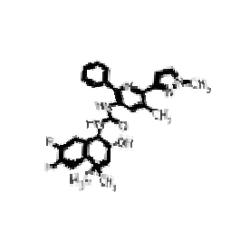 Cc1cc(NC(=O)N[C@@H]2c3cc(F)c(F)cc3C(C)(C)C[C@H]2O)c(-c2ccccc2)nc1-c1ccn(C)n1